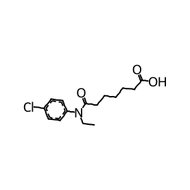 CCN(C(=O)CCCCCC(=O)O)c1ccc(Cl)cc1